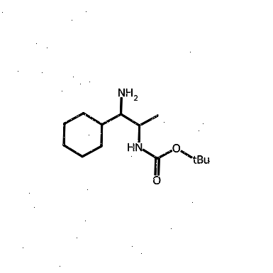 CC(NC(=O)OC(C)(C)C)C(N)C1CCCCC1